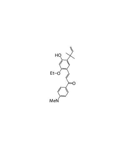 C=CC(C)(C)c1cc(/C=C/C(=O)c2ccc(NC)cc2)c(OCC)cc1O